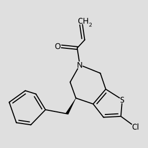 C=CC(=O)N1Cc2sc(Cl)cc2[C@@H](Cc2ccccc2)C1